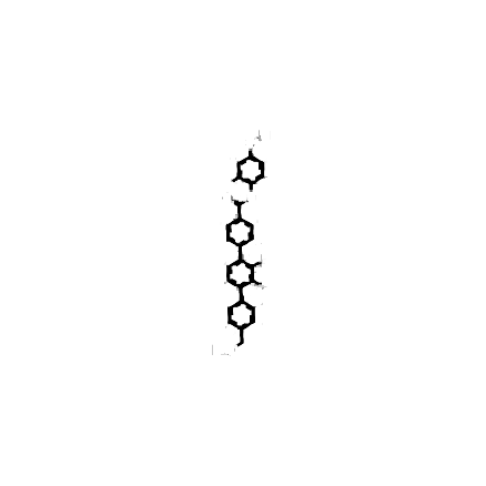 CCOc1ccc(OC(=O)c2ccc(-c3ccc(-c4ccc(CO)cc4)c(F)c3F)cc2)c(F)c1